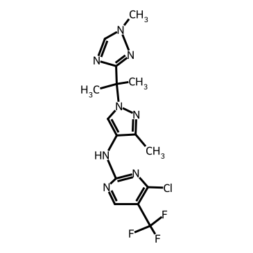 Cc1nn(C(C)(C)c2ncn(C)n2)cc1Nc1ncc(C(F)(F)F)c(Cl)n1